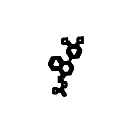 CC(=O)O/N=C1\CC[C@@H](c2ccc(Cl)c(Cl)c2)c2ccccc21